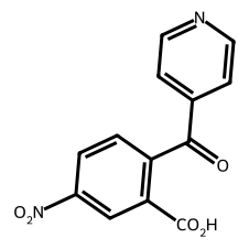 O=C(O)c1cc([N+](=O)[O-])ccc1C(=O)c1ccncc1